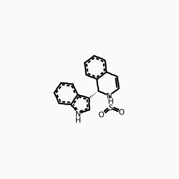 O=[SH](=O)N1C=Cc2ccccc2[C@H]1c1c[nH]c2ccccc12